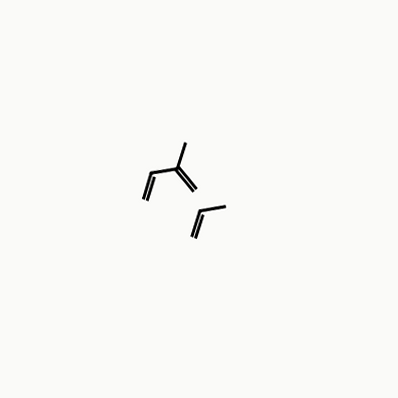 C=CC.C=CC(=C)C